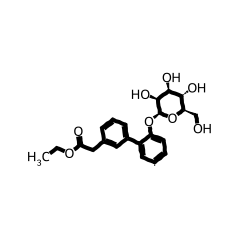 CCOC(=O)Cc1cccc(-c2c[c]ccc2O[C@@H]2O[C@H](CO)[C@@H](O)[C@H](O)[C@@H]2O)c1